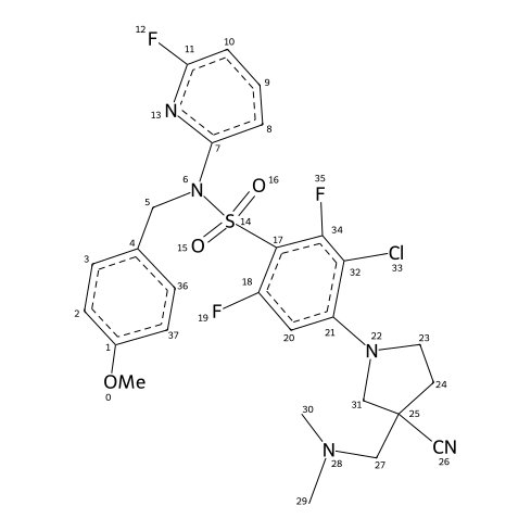 COc1ccc(CN(c2cccc(F)n2)S(=O)(=O)c2c(F)cc(N3CCC(C#N)(CN(C)C)C3)c(Cl)c2F)cc1